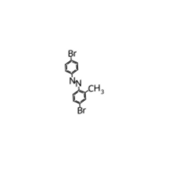 Cc1cc(Br)ccc1N=Nc1ccc(Br)cc1